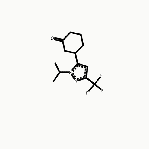 CC(C)n1nc(C(F)(F)F)cc1C1CCCC(=O)C1